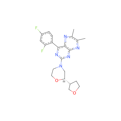 Cc1nc2nc(N3CCO[C@@H](C4CCOC4)C3)nc(-c3ccc(F)cc3F)c2nc1C